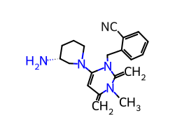 C=C1C=C(N2CCC[C@@H](N)C2)N(Cc2ccccc2C#N)C(=C)N1C